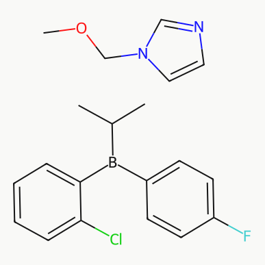 CC(C)B(c1ccc(F)cc1)c1ccccc1Cl.COCn1ccnc1